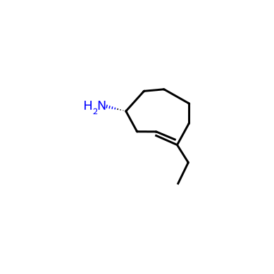 CC/C1=C\C[C@H](N)CCCC1